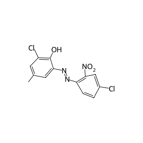 Cc1cc(Cl)c(O)c(N=Nc2ccc(Cl)cc2[N+](=O)[O-])c1